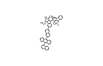 C=CC1=C(c2ccc3c(sc4ccccc43)c2C)c2ccc(-c3ccc4cc(-c5c6ccccc6c(-c6cccc7ccccc67)c6ccccc56)ccc4c3)cc2C1(C)C